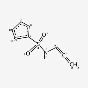 C=C=CNS(=O)(=O)c1cccs1